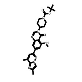 CNc1cc(-c2cc(C)c3nc(C)cn3n2)cc2ncn(C3CCN(C(=O)OC(C)(C)C)CC3)c(=O)c12